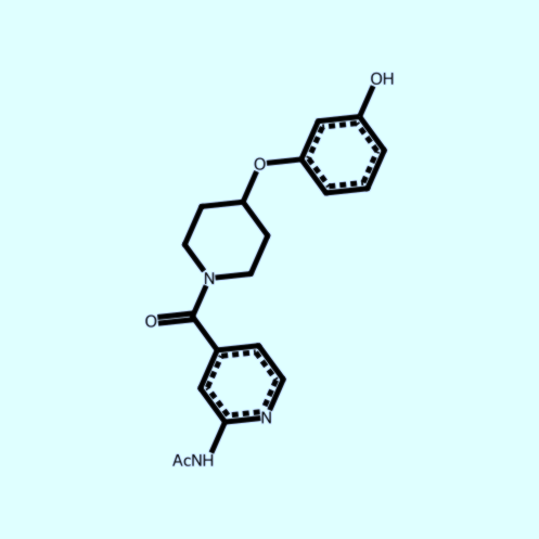 CC(=O)Nc1cc(C(=O)N2CCC(Oc3cccc(O)c3)CC2)ccn1